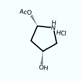 CC(=O)O[C@H]1C[C@@H](O)CN1.Cl